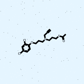 C#CCN(CCCOc1ccc(Cl)cc1Cl)CCCSC(C)=O